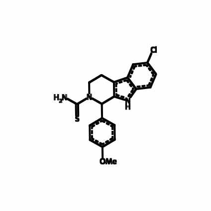 COc1ccc(C2c3[nH]c4ccc(Cl)cc4c3CCN2C(N)=S)cc1